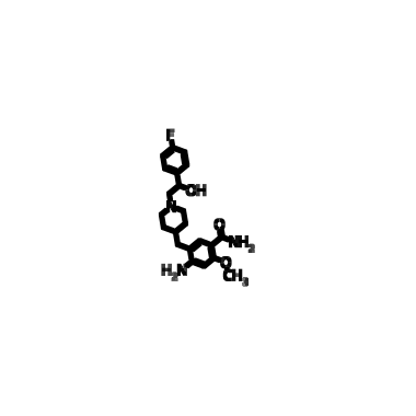 COc1cc(N)c(CC2CCN(CC(O)c3ccc(F)cc3)CC2)cc1C(N)=O